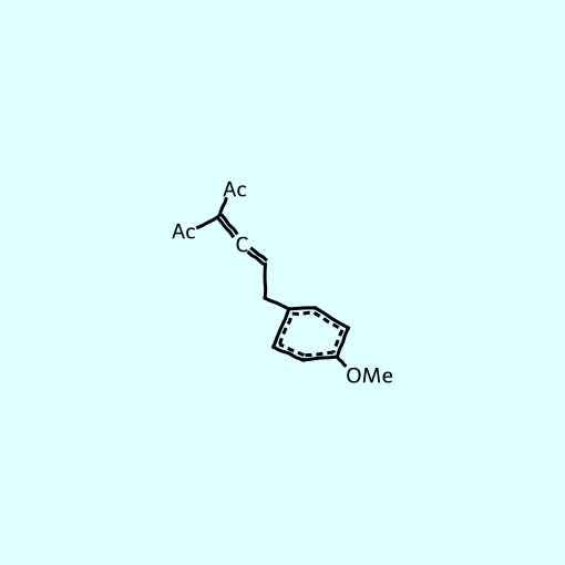 COc1ccc(CC=C=C(C(C)=O)C(C)=O)cc1